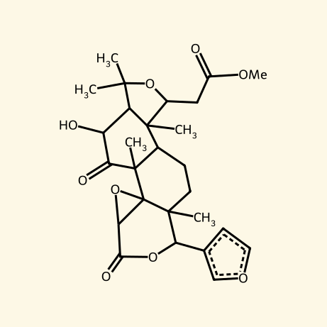 COC(=O)CC1OC(C)(C)C2C(O)C(=O)C3(C)C(CCC4(C)C(c5ccoc5)OC(=O)C5OC543)C12C